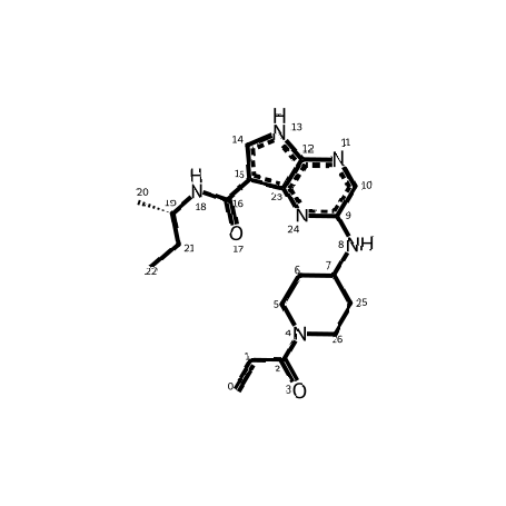 C=CC(=O)N1CCC(Nc2cnc3[nH]cc(C(=O)N[C@@H](C)CC)c3n2)CC1